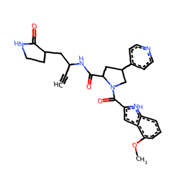 C#CC(CC1CCNC1=O)NC(=O)C1CC(c2ccncc2)CN1C(=O)c1cc2c(OC)cccc2[nH]1